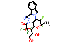 CC1(F)O[C@@H]([C@H](O)[C@H](O)CO)[C@H](NC(=O)C(Cl)(Cl)Cl)[C@@H](n2cc3ccccc3c2C#N)C1F